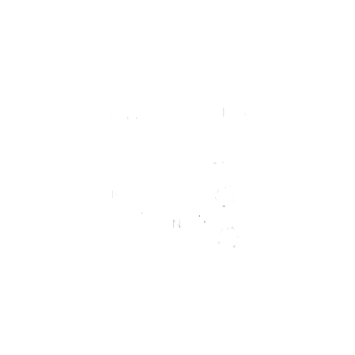 CC/C=C\C/C=C\C/C=C\CCCCCCCC(=O)O.OCCOCCN1CCN(C(c2ccccc2)c2ccc(Cl)cc2)CC1